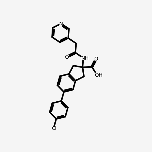 O=C(Cc1cccnc1)NC1(C(=O)O)Cc2ccc(-c3ccc(Cl)cc3)cc2C1